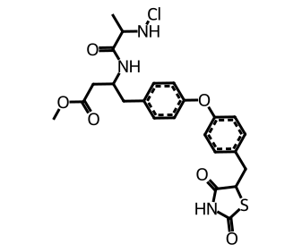 COC(=O)CC(Cc1ccc(Oc2ccc(CC3SC(=O)NC3=O)cc2)cc1)NC(=O)C(C)NCl